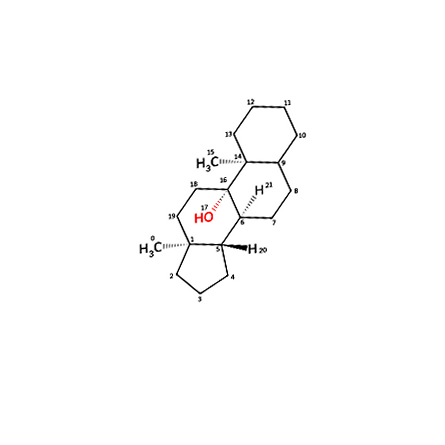 C[C@@]12CCC[C@H]1[C@@H]1CCC3CCCC[C@]3(C)[C@]1(O)CC2